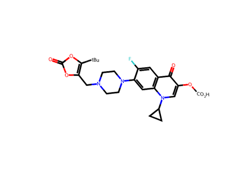 CC(C)(C)c1oc(=O)oc1CN1CCN(c2cc3c(cc2F)c(=O)c(OC(=O)O)cn3C2CC2)CC1